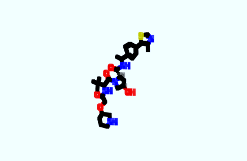 Cc1ncsc1-c1ccc(C(C)NC(=O)[C@@H]2C[C@@H](O)CN2C(=O)C(NC(=O)COC2CCCNC2)C(C)(C)C)cc1